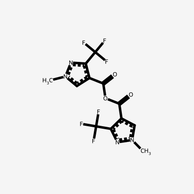 Cn1cc(C(=O)OC(=O)c2cn(C)nc2C(F)(F)F)c(C(F)(F)F)n1